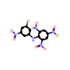 O=[N+]([O-])c1cc(Cl)cc(Nc2c([N+](=O)[O-])cc([N+](=O)[O-])cc2[N+](=O)[O-])c1